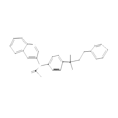 CCC(=O)N(c1ccc(C(C)(C)CCc2ccccc2)cc1)c1cnc2ccccc2c1